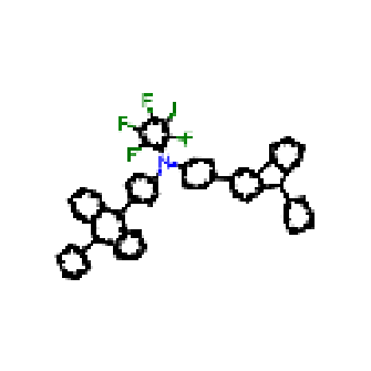 Fc1c(F)c(F)c(N(c2ccc(-c3ccc4c(c3)-c3ccccc3C4c3ccccc3)cc2)c2ccc(-c3c4ccccc4c(-c4ccccc4)c4ccccc34)cc2)c(F)c1F